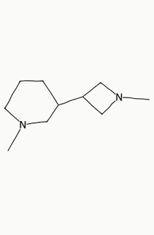 CN1CCCC(C2CN(C)C2)C1